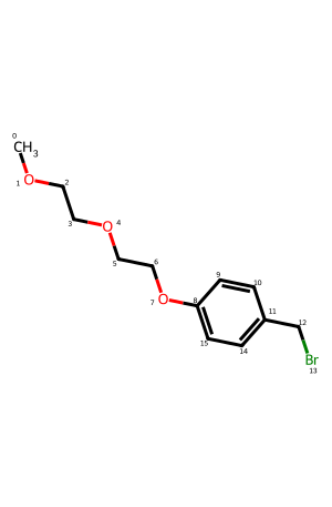 COCCOCCOc1ccc(CBr)cc1